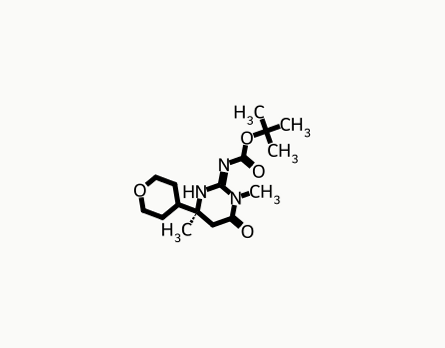 CN1C(=O)C[C@@](C)(C2CCOCC2)NC1=NC(=O)OC(C)(C)C